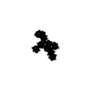 CC1(C)c2ccccc2-c2cc(N(c3ccc(C4=CCCC=C4)cc3)c3ccc(-c4ccccc4-n4c5ccccc5c5cc6ccccc6cc54)cc3)ccc21